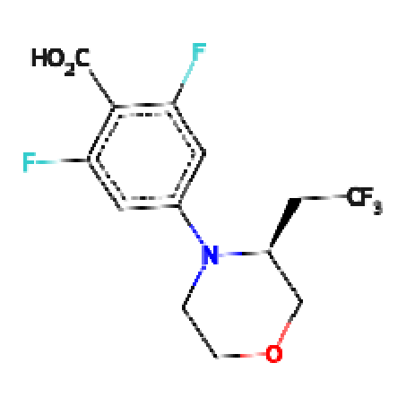 O=C(O)c1c(F)cc(N2CCOC[C@@H]2CC(F)(F)F)cc1F